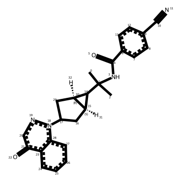 CC(C)(NC(=O)c1ccc(C#N)cc1)C1[C@H]2CC(n3ncc(=O)c4ccccc43)C[C@@H]12